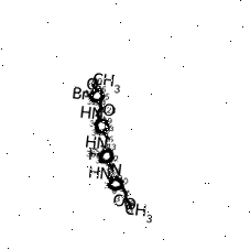 COC(=O)Cc1ccc2[nH]c(-c3ccc(NCc4ccc(NC(=O)c5ccc(OC)c(Br)c5)cc4)c(F)c3)nc2c1